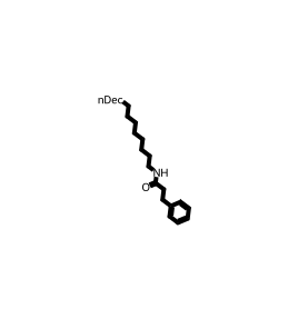 CCCCCCCCCCCCCCCCCCNC(=O)CCc1[c]cccc1